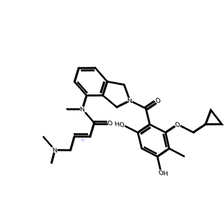 Cc1c(O)cc(O)c(C(=O)N2Cc3cccc(N(C)C(=O)/C=C/CN(C)C)c3C2)c1OCC1CC1